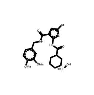 CCc1cc(C(=O)NCc2ccc(OC)c(OC)c2)c(NC(=O)C2CCCCC2)s1.O=C(O)O